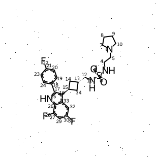 O=S(=O)(NCCN1CCCC1)NC[C@H]1C[C@H](c2c(-c3ccc(F)cc3)[nH]c3c(F)cc(F)cc32)C1